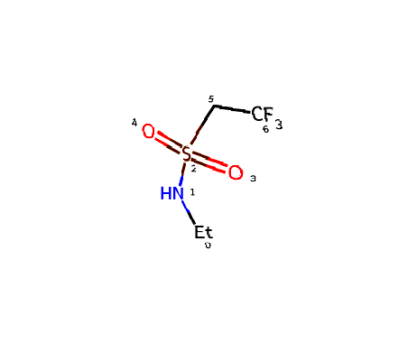 CCNS(=O)(=O)CC(F)(F)F